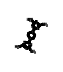 Nc1nc(N)nc(N2CCN(c3nc(N)nc(N)n3)CC2)n1